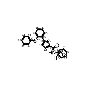 O=C(N[C@H]1CN2CCC1CC2)c1ccc(-c2ccccc2Sc2ccccc2)o1